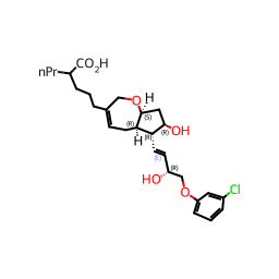 CCCC(CCCC1=CC[C@@H]2[C@@H](/C=C/[C@@H](O)COc3cccc(Cl)c3)[C@H](O)C[C@@H]2OC1)C(=O)O